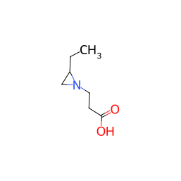 CCC1CN1CCC(=O)O